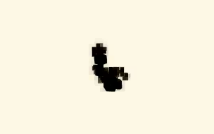 COc1cccc2c1nc(N)n1nc(CN(C)Cc3ccc(C(F)(F)F)cc3)nc21